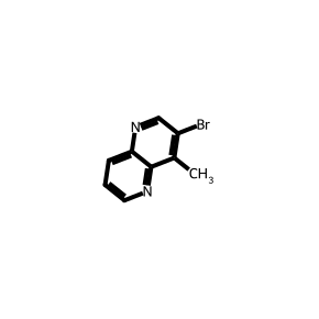 Cc1c(Br)cnc2cccnc12